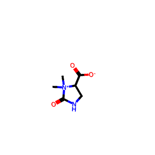 C[N+]1(C)C(=O)NCC1C(=O)[O-]